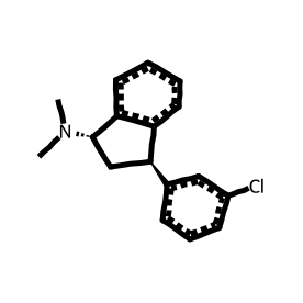 CN(C)[C@H]1C[C@H](c2cccc(Cl)c2)c2ccccc21